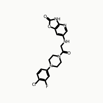 O=C(CNc1cnc2[nH]c(=O)oc2c1)N1CCN(c2ccc(Cl)c(F)c2)CC1